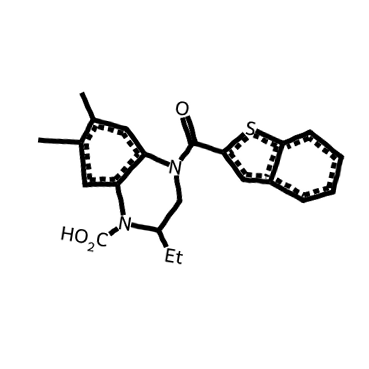 CCC1CN(C(=O)c2cc3ccccc3s2)c2cc(C)c(C)cc2N1C(=O)O